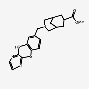 COC(=O)C1CC2CC(C1)CN(Cc1ccc3c(c1)Nc1nccnc1S3)C2